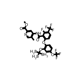 BC(B)(B)Oc1cc(OC(F)(F)F)ccc1Oc1ccc(C(F)(F)F)c(F)c1C(=O)Nc1cc(C(=O)OC)ncc1C